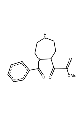 COC(=O)C(=O)C1CCNCCN1C(=O)c1ccccc1